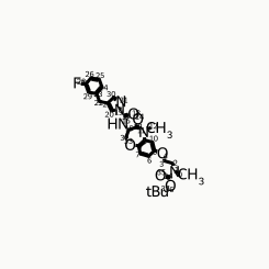 CN(CCOc1ccc2c(c1)N(C)C(=O)[C@@H](NC(=O)n1cc(Cc3cccc(F)c3)cn1)CO2)C(=O)OC(C)(C)C